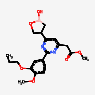 CCCOc1cc(-c2nc(CC(=O)OC)cc(C3COB(O)C3)n2)ccc1OC